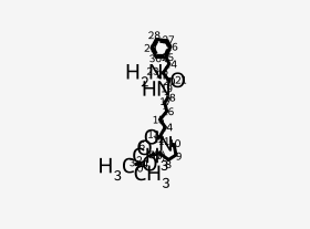 CC(C)(C)OC(=O)[C@@H]1CCCN1C(=O)CCCCCNC(=O)C(N)Cc1ccccc1